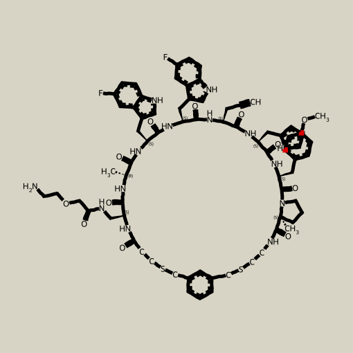 C#CC[C@@H]1NC(=O)[C@H](Cc2c[nH]c3ccc(F)cc23)NC(=O)[C@H](Cc2c[nH]c3ccc(F)cc23)NC(=O)[C@@H](C)NC(=O)[C@H](CNC(=O)COCCN)NC(=O)CCSCc2cccc(c2)CSCCNC(=O)[C@]2(C)CCCN2C(=O)[C@H](Cc2ccc(OC)cc2)NC(=O)[C@H](Cc2cnc[nH]2)NC1=O